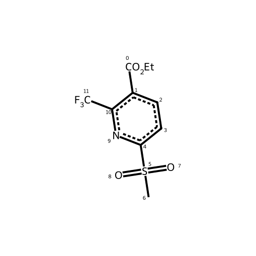 CCOC(=O)c1ccc(S(C)(=O)=O)nc1C(F)(F)F